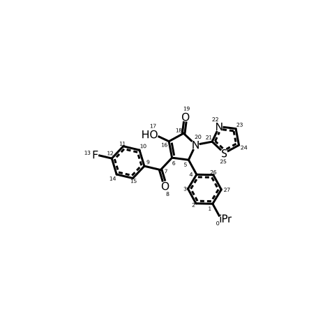 CC(C)c1ccc(C2C(C(=O)c3ccc(F)cc3)=C(O)C(=O)N2c2nccs2)cc1